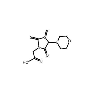 C=S1C(=S)N(CC(=O)O)C(=O)C1N1CCOCC1